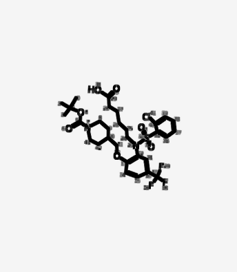 CC(C)(C)OC(=O)N1CCC(COc2ccc(C(F)(F)F)cc2N(CCCCCC(=O)O)S(=O)(=O)c2ccccc2Cl)CC1